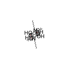 CCCCCCCCN(c1ccc(C(C)(C)C)cc1)c1cc(C(=O)O)c2c(C(=O)O)c(N(CCCCCCCC)c3ccc(C(C)(C)C)cc3)cc(C(=O)O)c2c1C(=O)O